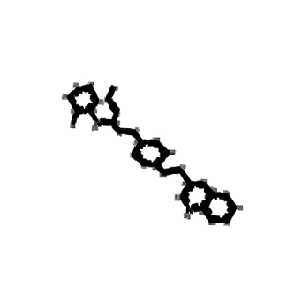 CC=CC(/C=C/c1ccc(/C=C/c2cnc3ccccc3c2)cc1)=N\c1ccccc1C